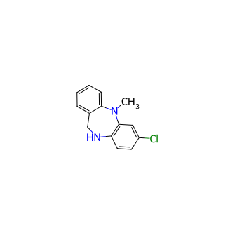 CN1c2ccccc2CNc2ccc(Cl)cc21